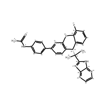 CC(=O)Nc1ccc(-c2ccc3c(n2)Oc2c(F)cccc2[C@@H]3C(C)(C)c2nc3nccnc3[nH]2)cc1